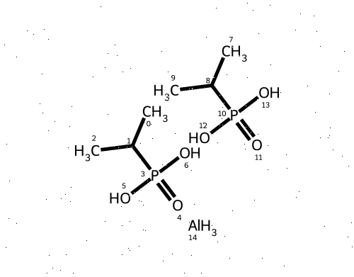 CC(C)P(=O)(O)O.CC(C)P(=O)(O)O.[AlH3]